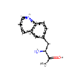 COC(=O)[C@@H](N)Cc1ccc2ncccc2c1